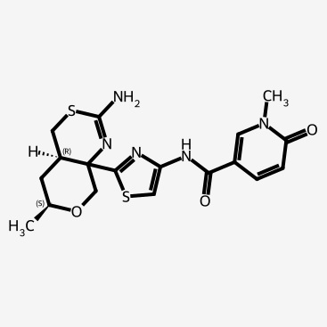 C[C@H]1C[C@H]2CSC(N)=NC2(c2nc(NC(=O)c3ccc(=O)n(C)c3)cs2)CO1